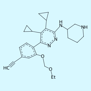 C#Cc1ccc(-c2nnc(NC3CCCNC3)c(C3CC3)c2C2CC2)c(OCOCC)c1